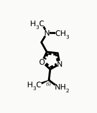 C[C@H](N)c1ncc(CN(C)C)o1